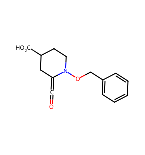 O=C=C1CC(C(=O)O)CCN1OCc1ccccc1